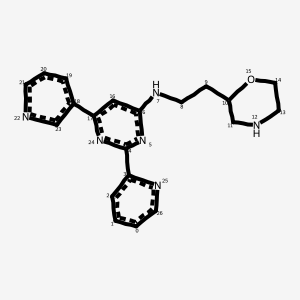 c1ccc(-c2nc(NCCC3CNCCO3)cc(-c3cccnc3)n2)nc1